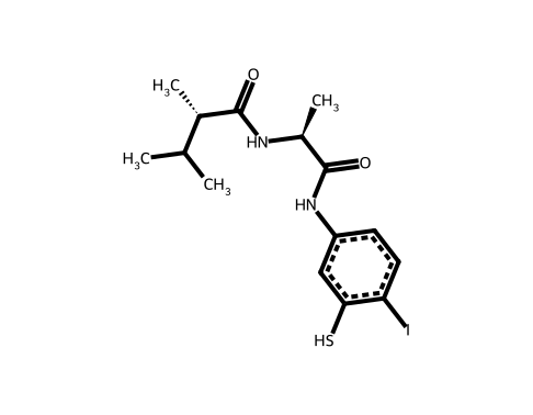 CC(C)[C@H](C)C(=O)N[C@@H](C)C(=O)Nc1ccc(I)c(S)c1